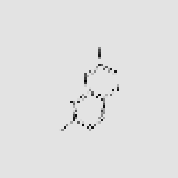 Cc1ccc2c[c]c(C)nc2c1